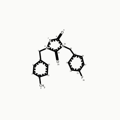 Cc1ccc(Cn2sc(=O)n(Cc3ccc(F)cc3)c2=O)cc1